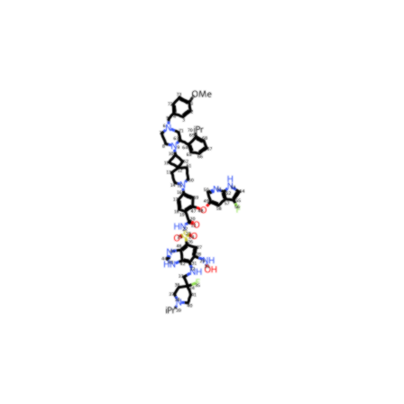 COc1ccc(CN2CCN(C3CC4(CCN(c5ccc(C(=O)NS(=O)(=O)c6cc(NO)c(NCC7(F)CCN(C(C)C)CC7)c7[nH]cnc67)c(Oc6cnc7[nH]cc(F)c7c6)c5)CC4)C3)C(c3ccccc3C(C)C)C2)cc1